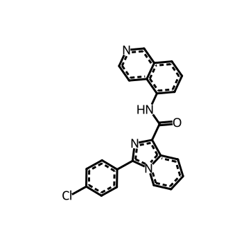 O=C(Nc1cccc2cnccc12)c1nc(-c2ccc(Cl)cc2)n2ccccc12